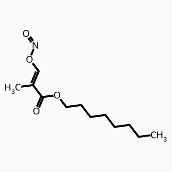 CCCCCCCCOC(=O)C(C)=CON=O